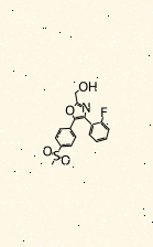 CS(=O)(=O)c1ccc(-c2oc(CO)nc2-c2ccccc2F)cc1